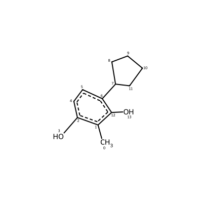 Cc1c(O)ccc(C2CCCC2)c1O